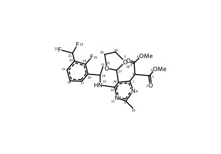 COC(=O)C(C(=O)OC)c1nc(C)nc(NC(C)c2cccc(C(F)F)c2F)c1C1OCCO1